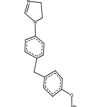 CCCOc1ccc(Cc2ccc(N3C=NCC3)cc2)cc1